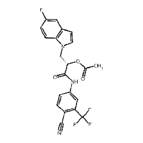 CC(=O)O[C@@H](Cn1ccc2cc(F)ccc21)C(=O)Nc1ccc(C#N)c(C(F)(F)F)c1